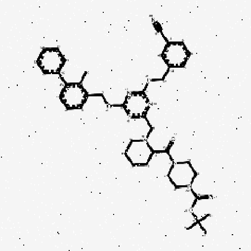 Cc1c(COc2nc(CN3CCCCC3C(=O)N3CCN(C(=O)OC(C)(C)C)CC3)nc(OCc3cccc(C#N)c3)n2)cccc1-c1ccccc1